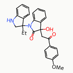 CCC1(N2C(=O)C(O)(CC(=O)c3ccc(OC)cc3)c3ccccc32)CNc2ccccc21